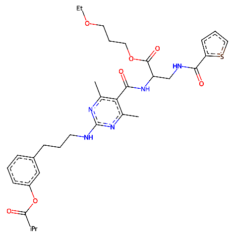 CCOCCCOC(=O)C(CNC(=O)c1cccs1)NC(=O)c1c(C)nc(NCCCc2cccc(OC(=O)C(C)C)c2)nc1C